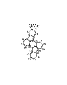 COc1ccc2c(c1)c1cccc3c4c5ccccc5c5cccc(c54)c2c13